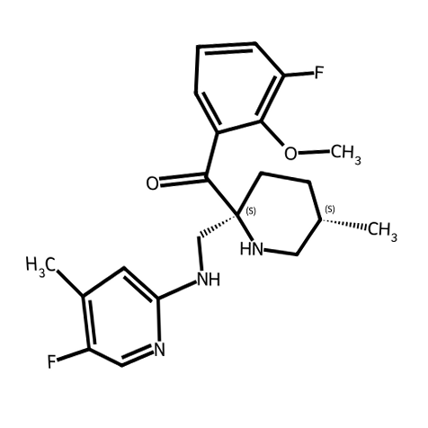 COc1c(F)cccc1C(=O)[C@@]1(CNc2cc(C)c(F)cn2)CC[C@H](C)CN1